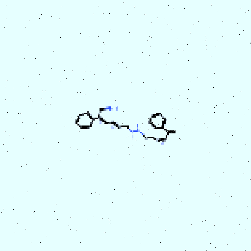 C=C(/C=C\CCNNC/C=C/C=C(\C=N)c1ccccc1)c1ccccc1